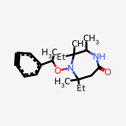 CCC1(C)CC(=O)NC(C)C(C)(CC)N1OC(C)c1cc#ccc1